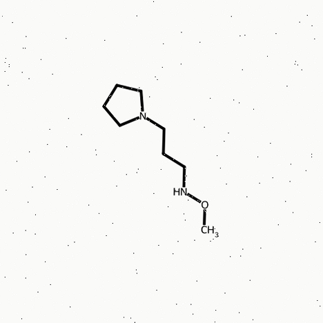 CONCCCN1CCCC1